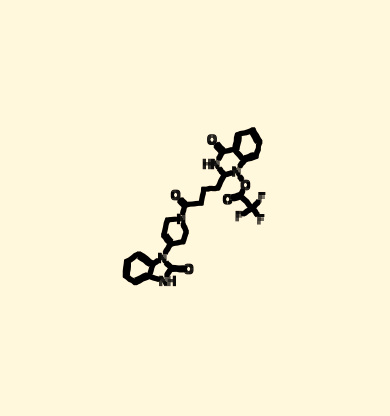 O=C1NC(CCCC(=O)N2CC=C(n3c(=O)[nH]c4ccccc43)CC2)N(OC(=O)C(F)(F)F)c2ccccc21